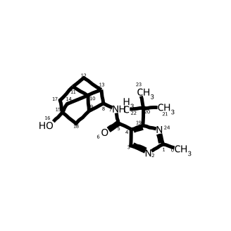 Cc1ncc(C(=O)NC2C3CC4CC2CC(O)(C4)C3)c(C(C)(C)C)n1